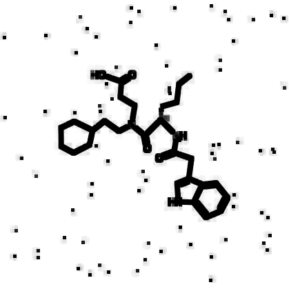 CCCC[C@H](NC(=O)Cc1c[nH]c2ccccc12)C(=O)N(CCC(=O)O)CCC1CCCCC1